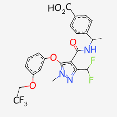 CC(NC(=O)c1c(C(F)F)nn(C)c1Oc1cccc(OCC(F)(F)F)c1)c1ccc(C(=O)O)cc1